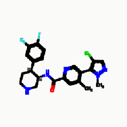 Cc1cc(C(=O)N[C@@H]2CNCC[C@H]2c2ccc(F)c(F)c2)ncc1-c1c(Cl)cnn1C